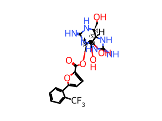 N=C1N[C@H]2[C@H](CO)NC(=N)N3C[C@H](OC(=O)c4ccc(-c5ccccc5C(F)(F)F)o4)C(O)(O)[C@]23N1